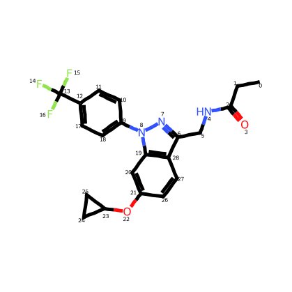 CCC(=O)NCc1nn(-c2ccc(C(F)(F)F)cc2)c2cc(OC3CC3)ccc12